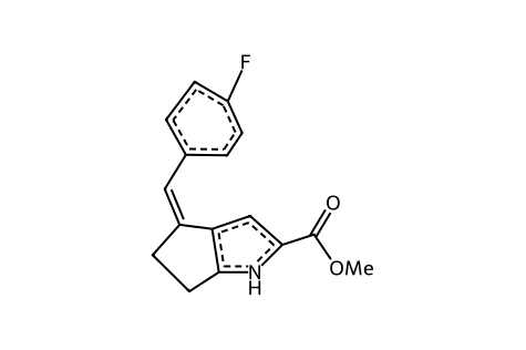 COC(=O)c1cc2c([nH]1)CCC2=Cc1ccc(F)cc1